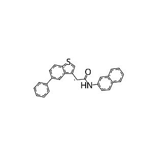 O=C([CH]c1csc2ccc(-c3ccccc3)cc12)Nc1ccc2ccccc2c1